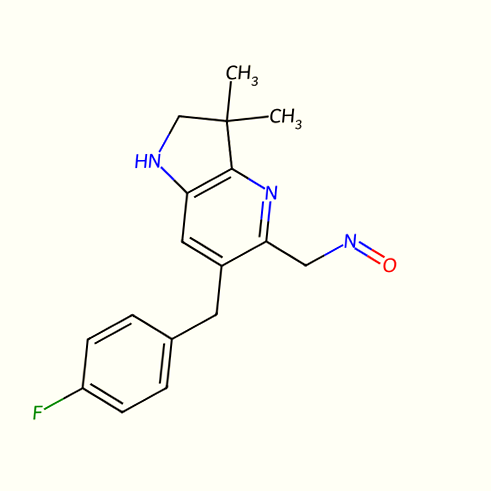 CC1(C)CNc2cc(Cc3ccc(F)cc3)c(CN=O)nc21